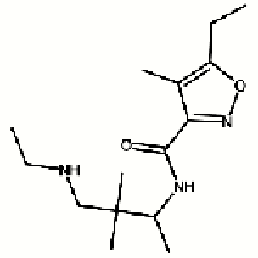 CCNCC(C)(C)C(C)NC(=O)c1noc(CC)c1C